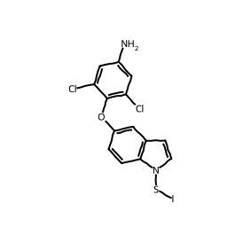 Nc1cc(Cl)c(Oc2ccc3c(ccn3SI)c2)c(Cl)c1